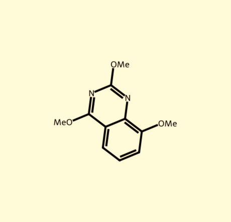 COc1nc(OC)c2cccc(OC)c2n1